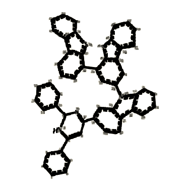 C1=C(c2ccccc2)NC(c2ccccc2)N=C1c1ccc2c3ccccc3n(-c3cc(-c4cccc5c4sc4ccccc45)c4sc5ccccc5c4c3)c2c1